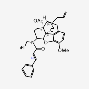 C=CCN1CC[C@]23c4c5ccc(OC)c4OC2C(N(CC(C)C)C(=O)/C=C/c2ccccc2)CC[C@@]3(OC(C)=O)[C@H]1C5